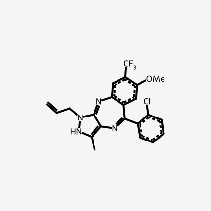 C=CCN1NC(C)=C2N=C(c3ccccc3Cl)c3cc(OC)c(C(F)(F)F)cc3N=C21